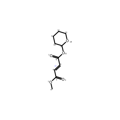 COC(=O)/C=C/C(=O)OC1CCCCO1